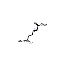 CN[C@@H](CC/C=C/C(=O)OC)C(C)=O